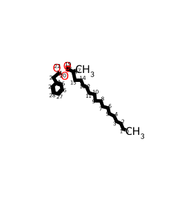 CCCCCCCCCCCCCCCCC(C)C(=O)OC(=O)Cc1ccccc1